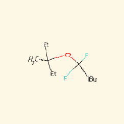 CCC(C)C(F)(F)OC(C)(CC)CC